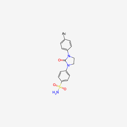 CC(=O)c1ccc(N2CCN(c3ccc(S(N)(=O)=O)cc3)C2=O)cc1